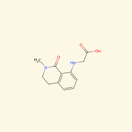 CN1CCc2cccc(NCC(=O)O)c2C1=O